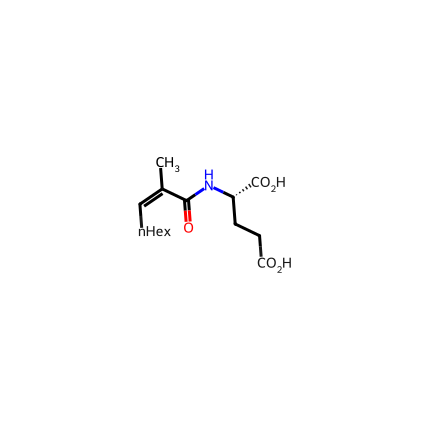 CCCCCCC=C(C)C(=O)N[C@@H](CCC(=O)O)C(=O)O